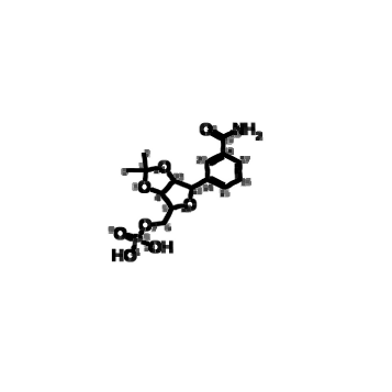 CC1(C)OC2C(COP(=O)(O)O)OC(c3cccc(C(N)=O)c3)C2O1